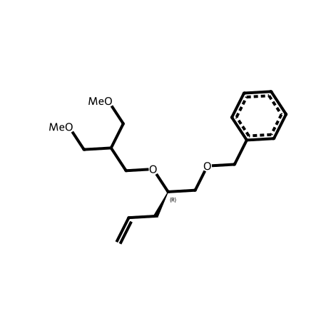 C=CC[C@H](COCc1ccccc1)OCC(COC)COC